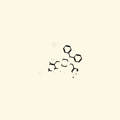 COc1nc(OC)c(CN2CCN(Cc3cnn(C)c3)[C@H](C(c3ccccc3)c3ccccc3)C2)c(OC(C)C)n1.Cl.Cl